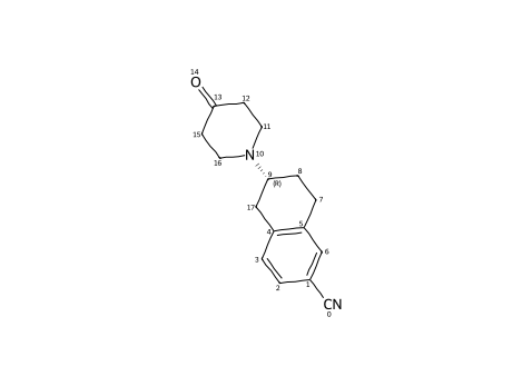 N#Cc1ccc2c(c1)CC[C@@H](N1CCC(=O)CC1)C2